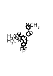 Cc1cc([C@H]2C[C@@H](c3cc4c(=O)n(C)c(C)nc4c(-c4ccc(C(F)(F)F)cc4F)n3)CCO2)ccn1